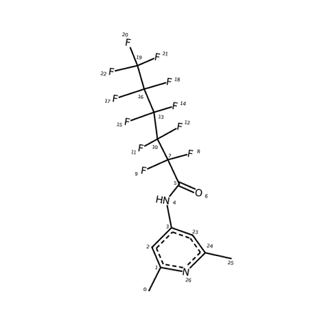 Cc1cc(NC(=O)C(F)(F)C(F)(F)C(F)(F)C(F)(F)C(F)(F)F)cc(C)n1